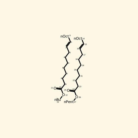 CCCCCCCC/C=C/CCCCCCCC(=O)OCCCC.CCCCCCCC/C=C/CCCCCCCC(=O)OCCCCC